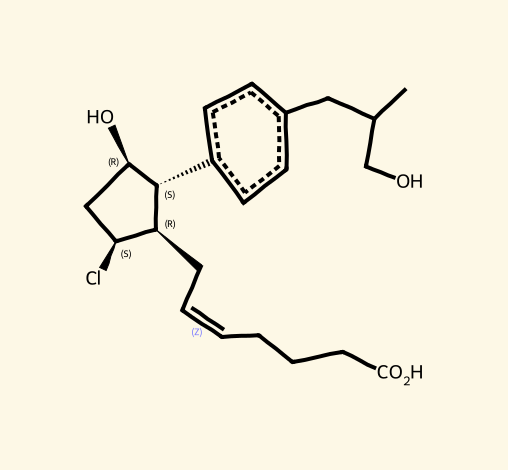 CC(CO)Cc1ccc([C@@H]2[C@@H](C/C=C\CCCC(=O)O)[C@@H](Cl)C[C@H]2O)cc1